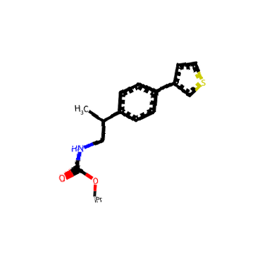 CC(C)OC(=O)NCC(C)c1ccc(-c2ccsc2)cc1